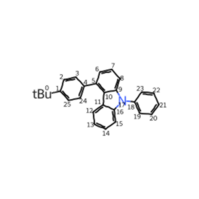 CC(C)(C)c1ccc(-c2cccc3c2c2ccccc2n3-c2ccccc2)cc1